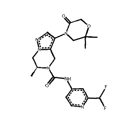 C[C@H]1Cn2ncc(N3CC(C)(C)OCC3=O)c2CN1C(=O)Nc1ccnc(C(F)F)c1